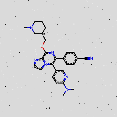 CN1CCC[C@@H](COc2nc(-c3ccc(C#N)cc3)c(-c3ccc(N(C)C)nc3)n3ccnc23)C1